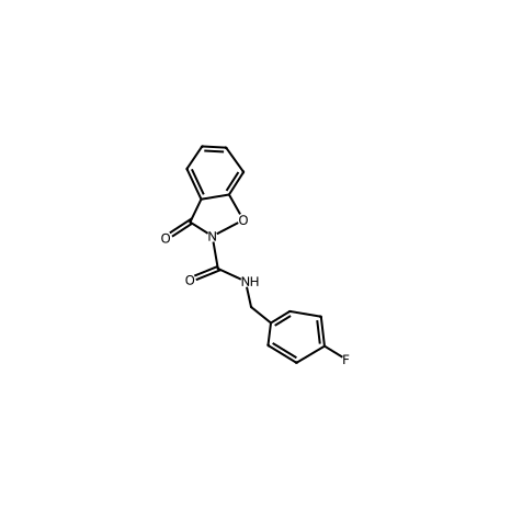 O=C(NCc1ccc(F)cc1)n1oc2ccccc2c1=O